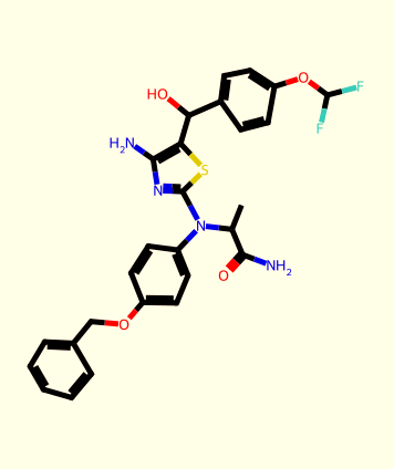 CC(C(N)=O)N(c1ccc(OCc2ccccc2)cc1)c1nc(N)c(C(O)c2ccc(OC(F)F)cc2)s1